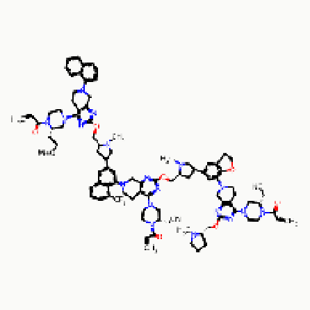 C=CC(=O)N1CCN(c2nc(OC[C@@H]3CCCN3C)nc3c2CCN(c2cc(C4C[C@@H](COc5nc6c(c(N7CCN(C(=O)C=C)[C@@H](CC#N)C7)n5)CCN(c5cc(C7C[C@@H](COc8nc9c(c(N%10CCN(C(=O)C=C)[C@@H](CCOC)C%10)n8)CCN(c8cccc%10ccccc8%10)C9)N(C)C7)cc7cccc(C(F)(F)F)c57)C6)N(C)C4)cc4c2OCC4)C3)C[C@@H]1CC#N